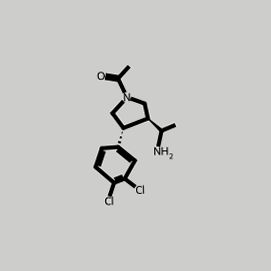 CC(=O)N1C[C@@H](c2ccc(Cl)c(Cl)c2)[C@H](C(C)N)C1